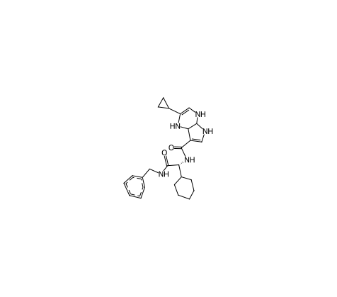 O=C(N[C@@H](C(=O)NCc1ccccc1)C1CCCCC1)C1=CNC2NC=C(C3CC3)NC12